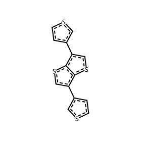 c1cc(-c2csc3c(-c4ccsc4)csc23)cs1